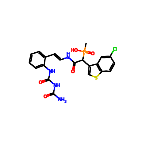 CP(=O)(O)C(C(=O)N/C=C/c1ccccc1NC(=O)NC(N)=O)c1csc2ccc(Cl)cc12